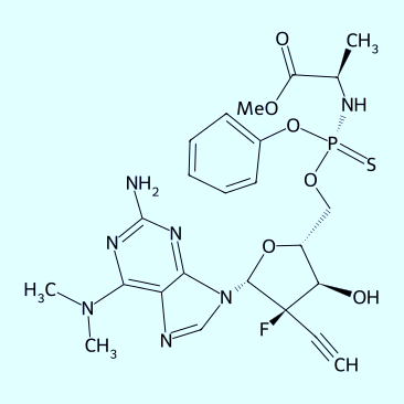 C#C[C@@]1(F)[C@H](O)[C@@H](CO[P@@](=S)(N[C@H](C)C(=O)OC)Oc2ccccc2)O[C@H]1n1cnc2c(N(C)C)nc(N)nc21